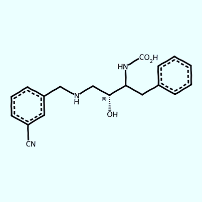 N#Cc1cccc(CNC[C@@H](O)C(Cc2ccccc2)NC(=O)O)c1